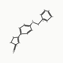 O=C1C=C(c2ccc(OCc3ccccc3)cc2)CC1